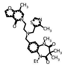 CCN1C(=O)C(C)(C)C(=O)N(C)c2cc(CN(CCn3cc(C)c4occc4c3=O)Cc3scnc3C)ccc21